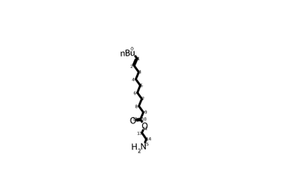 CCCC/C=C/CCCCCCCC(=O)OCCN